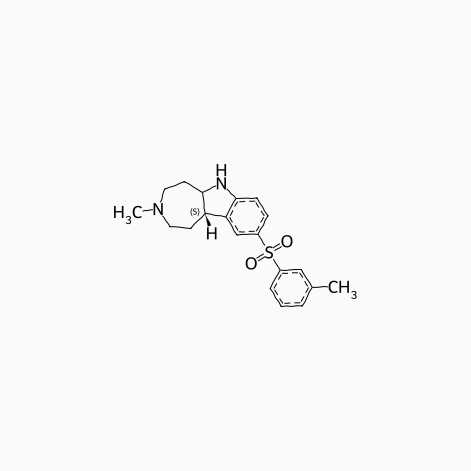 Cc1cccc(S(=O)(=O)c2ccc3c(c2)[C@@H]2CCN(C)CCC2N3)c1